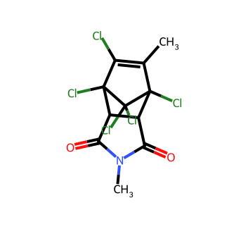 CC1=C(Cl)C2(Cl)C3C(=O)N(C)C(=O)C3C1(Cl)C2(Cl)Cl